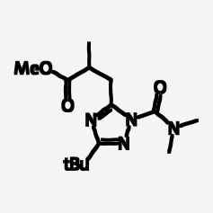 COC(=O)C(C)Cc1nc(C(C)(C)C)nn1C(=O)N(C)C